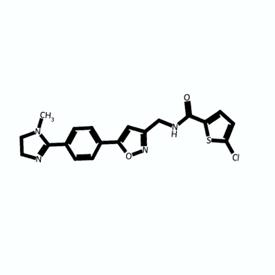 CN1CCN=C1c1ccc(-c2cc(CNC(=O)c3ccc(Cl)s3)no2)cc1